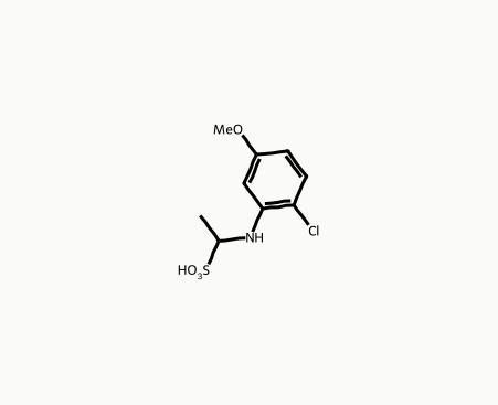 COc1ccc(Cl)c(NC(C)S(=O)(=O)O)c1